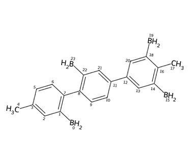 Bc1cc(C)ccc1-c1ccc(-c2cc(B)c(C)c(B)c2)cc1B